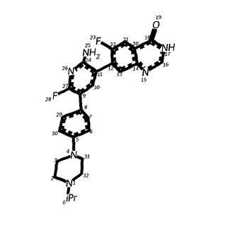 CC(C)N1CCN(c2ccc(-c3cc(-c4cc5nc[nH]c(=O)c5cc4F)c(N)nc3F)cc2)CC1